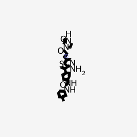 Cc1cccc(NC(=O)Nc2ccc(-c3csc4c(/C=C/C(=O)N5CCNC(=O)C5)cnc(N)c34)cc2)c1